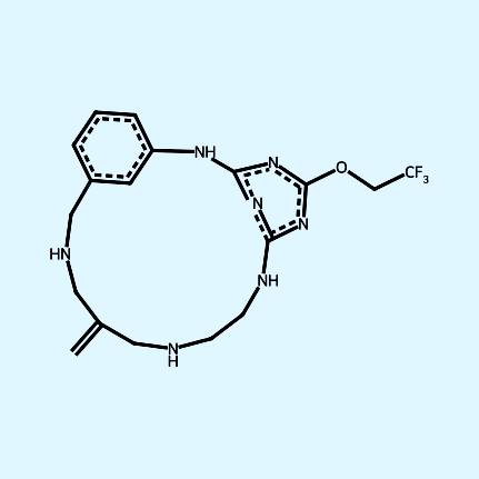 C=C1CNCCNc2nc(nc(OCC(F)(F)F)n2)Nc2cccc(c2)CNC1